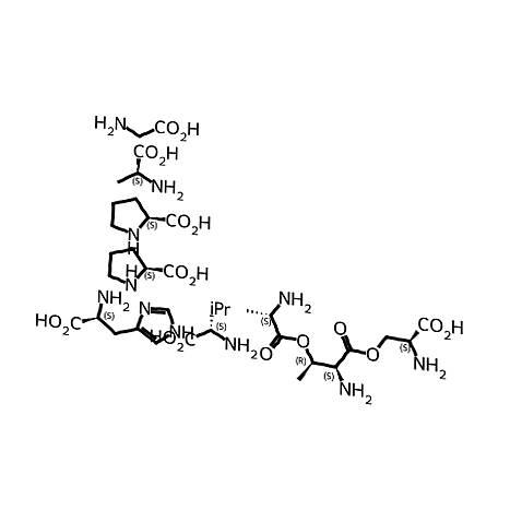 CC(C)[C@H](N)C(=O)O.C[C@H](N)C(=O)O.C[C@H](N)C(=O)O[C@H](C)[C@H](N)C(=O)OC[C@H](N)C(=O)O.NCC(=O)O.N[C@@H](Cc1c[nH]cn1)C(=O)O.O=C(O)[C@@H]1CCCN1.O=C(O)[C@@H]1CCCN1